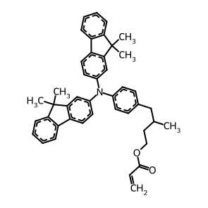 C=CC(=O)OCCC(C)Cc1ccc(N(c2ccc3c(c2)C(C)(C)c2ccccc2-3)c2ccc3c(c2)C(C)(C)c2ccccc2-3)cc1